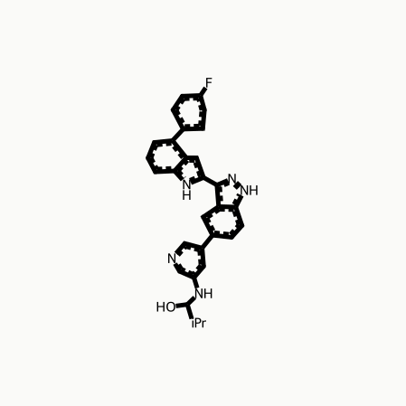 CC(C)C(O)Nc1cncc(-c2ccc3[nH]nc(-c4cc5c(-c6ccc(F)cc6)cccc5[nH]4)c3c2)c1